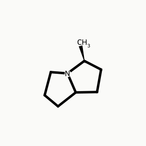 C[C@H]1CCC2CCCN21